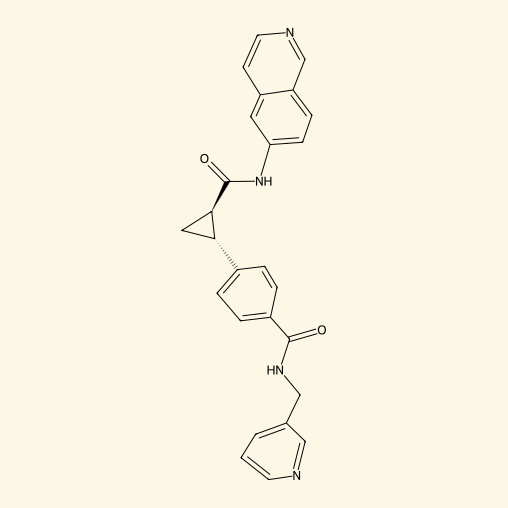 O=C(NCc1cccnc1)c1ccc([C@@H]2C[C@H]2C(=O)Nc2ccc3cnccc3c2)cc1